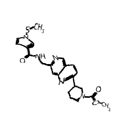 COC(=O)N1CCCC(c2ccc3cnc(CNC(=O)c4ccn(SC)c4)cc3n2)C1